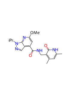 COc1cc(C(=O)NCc2c(C)cc(C)[nH]c2=O)c2cnn(C(C)C)c2n1